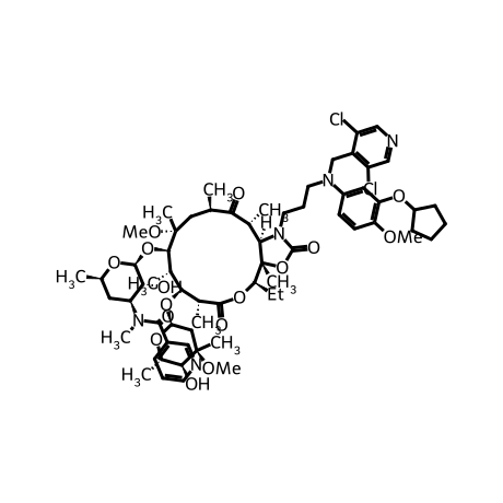 CC[C@H]1OC(=O)[C@H](C)[C@@H](O[C@H]2C[C@@](C)(OC)[C@@H](O)[C@H](C)O2)[C@H](C)[C@@H](O[C@@H]2O[C@H](C)C[C@H](N(C)C(=O)c3cccnc3)[C@H]2O)[C@](C)(OC)C[C@@H](C)C(=O)[C@H](C)[C@H]2N(CCCN(Cc3c(Cl)cncc3Cl)c3ccc(OC)c(OC4CCCC4)c3)C(=O)O[C@]12C